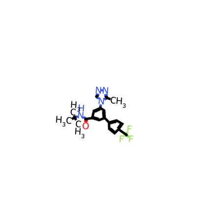 Cc1nncn1-c1cc(C(=O)NC(C)(C)C)cc(-c2ccc(C(F)(F)F)cc2)c1